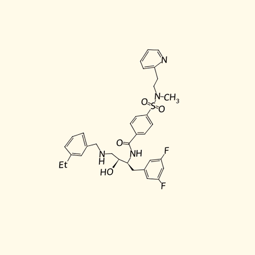 CCc1cccc(CNC[C@H](O)[C@H](Cc2cc(F)cc(F)c2)NC(=O)c2ccc(S(=O)(=O)N(C)CCc3ccccn3)cc2)c1